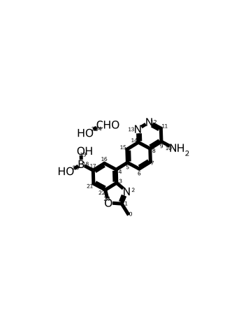 Cc1nc2c(-c3ccc4c(N)cnnc4c3)cc(B(O)O)cc2o1.O=CO